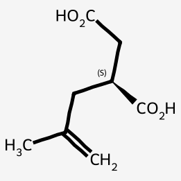 C=C(C)C[C@@H](CC(=O)O)C(=O)O